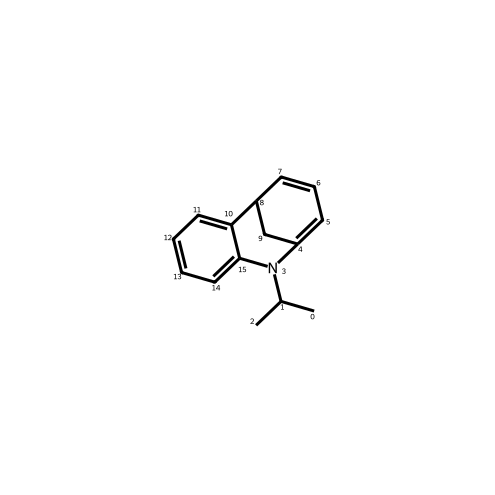 CC(C)N1C2=CC=CC(C2)c2ccccc21